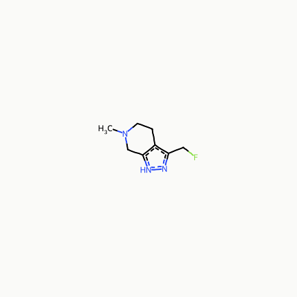 CN1CCc2c(CF)n[nH]c2C1